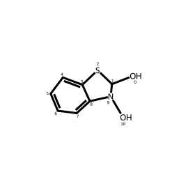 OC1Sc2ccccc2N1O